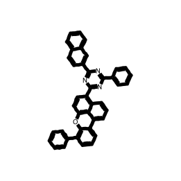 c1ccc(-c2nc(-c3ccc4ccccc4c3)nc(-c3ccc4c5c(cccc35)-c3cccc(-c5ccccc5)c3O4)n2)cc1